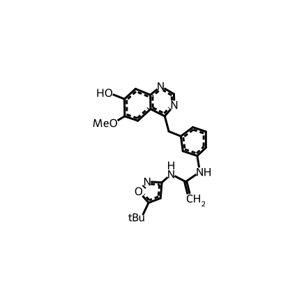 C=C(Nc1cccc(Cc2ncnc3cc(O)c(OC)cc23)c1)Nc1cc(C(C)(C)C)on1